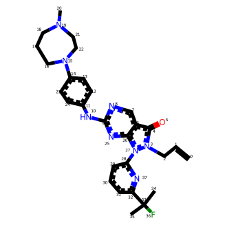 C=CCn1c(=O)c2cnc(Nc3ccc(N4CCCN(C)CC4)cc3)nc2n1-c1cccc(C(C)(C)F)n1